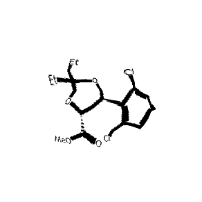 CCC1(CC)O[C@@H](C(=O)OC)[C@H](c2c(Cl)cccc2Cl)O1